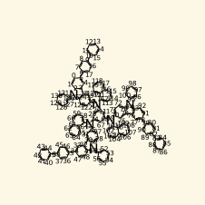 C1=CC2C(C=C1c1ccc(-c3ccccc3)cc1)c1cc(N(c3cc(N(c4ccc5c(c4)c4cc(-c6ccc(-c7ccccc7)cc6)ccc4n5-c4ccccc4)c4cccc5ccccc45)cc(N(c4ccc5c(c4)c4cc(-c6ccc(-c7ccccc7)cc6)ccc4n5-c4ccccc4)c4cccc5ccccc45)c3)c3cccc4ccccc34)ccc1N2c1ccccc1